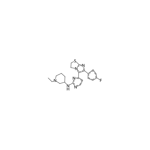 CCN1CCCC(Nc2nccc(-c3c(-c4ccc(F)cc4)nc4n3CCS4)n2)C1